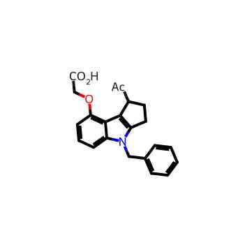 CC(=O)C1CCc2c1c1c(OCC(=O)O)cccc1n2Cc1ccccc1